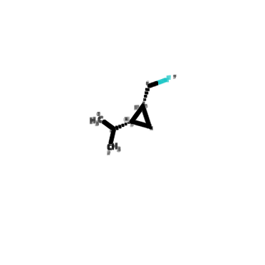 CC(C)[C@H]1C[C@H]1CF